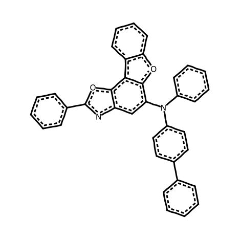 c1ccc(-c2ccc(N(c3ccccc3)c3cc4nc(-c5ccccc5)oc4c4c3oc3ccccc34)cc2)cc1